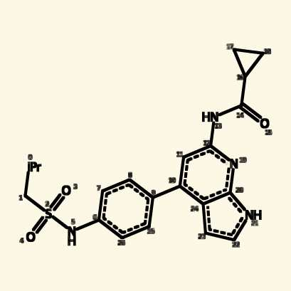 CC(C)CS(=O)(=O)Nc1ccc(-c2cc(NC(=O)C3CC3)nc3[nH]ccc23)cc1